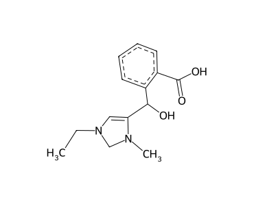 CCN1C=C(C(O)c2ccccc2C(=O)O)N(C)C1